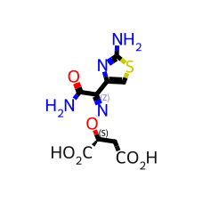 NC(=O)/C(=N\O[C@@H](CC(=O)O)C(=O)O)c1csc(N)n1